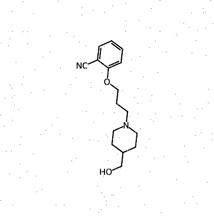 N#Cc1ccccc1OCCCN1CCC(CO)CC1